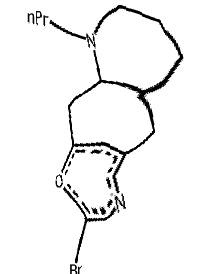 CCCN1CCCC2Cc3nc(Br)oc3CC21